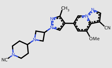 COc1cc(-c2cn(C3CN(C4CCN(C#N)CC4)C3)nc2C)cn2ncc(C#N)c12